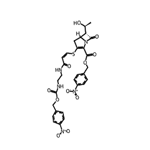 C[C@H](O)[C@@H]1C(=O)N2C(C(=O)OCc3ccc([N+](=O)[O-])cc3)=C(S/C=C\C(=O)NCCNC(=O)OCc3ccc([N+](=O)[O-])cc3)C[C@H]12